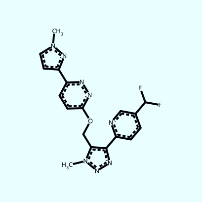 Cn1ccc(-c2ccc(OCc3c(-c4ccc(C(F)F)cn4)nnn3C)nn2)n1